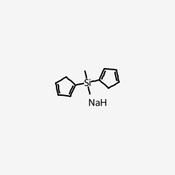 C[Si](C)(C1=CC=CC1)C1=CC=CC1.[NaH]